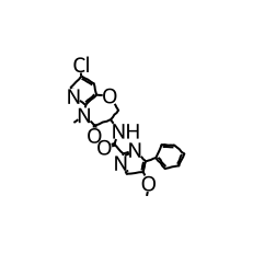 COc1cnc(C(=O)NC2COc3cc(Cl)cnc3N(C)C2=O)nc1-c1ccccc1